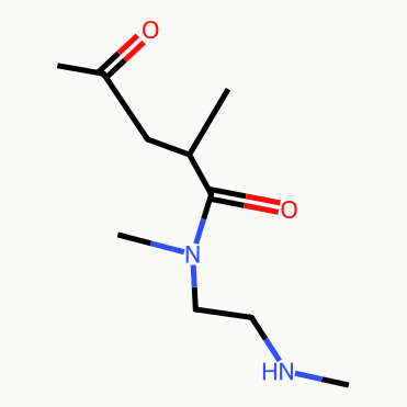 CNCCN(C)C(=O)C(C)CC(C)=O